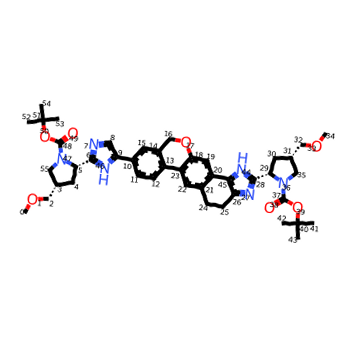 COC[C@H]1C[C@@H](c2ncc(-c3ccc4c(c3)COc3cc5c(cc3-4)CCc3nc([C@@H]4C[C@H](COC)CN4C(=O)OC(C)(C)C)[nH]c3-5)[nH]2)N(C(=O)OC(C)(C)C)C1